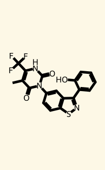 Cc1c(C(F)(F)F)[nH]c(=O)n(-c2ccc3snc(-c4ccccc4O)c3c2)c1=O